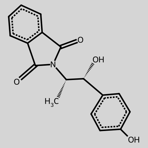 C[C@@H]([C@H](O)c1ccc(O)cc1)N1C(=O)c2ccccc2C1=O